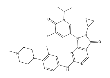 Cc1cc(Nc2ncc3c(=O)n(C4CC4)n(-c4cc(F)c(=O)n(C(C)C)c4)c3n2)ccc1N1CCN(C)CC1